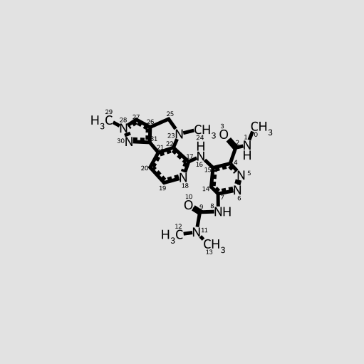 CNC(=O)c1nnc(NC(=O)N(C)C)cc1Nc1nccc2c1N(C)Cc1cn(C)nc1-2